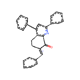 O=C1/C(=C/c2ccccc2)CCc2c(-c3ccccc3)cc(-c3ccccc3)nc21